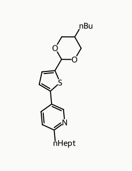 CCCCCCCc1ccc(-c2ccc(C3OCC(CCCC)CO3)s2)cn1